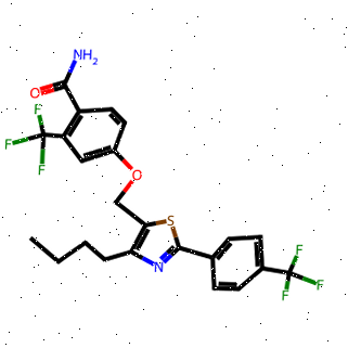 CCCCc1nc(-c2ccc(C(F)(F)F)cc2)sc1COc1ccc(C(N)=O)c(C(F)(F)F)c1